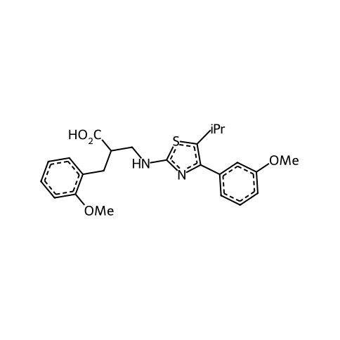 COc1cccc(-c2nc(NCC(Cc3ccccc3OC)C(=O)O)sc2C(C)C)c1